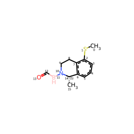 CSc1cccc2c1CCN(BC=O)[C@H]2C